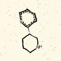 c1ccc([C@H]2CCCNC2)nc1